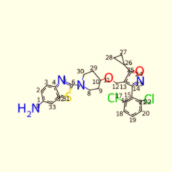 Nc1ccc2nc(N3CCC(OCc4c(-c5c(Cl)cccc5Cl)noc4C4CC4)CC3)sc2c1